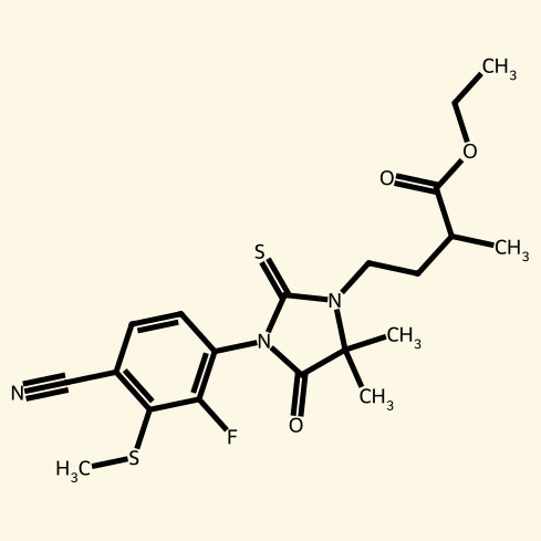 CCOC(=O)C(C)CCN1C(=S)N(c2ccc(C#N)c(SC)c2F)C(=O)C1(C)C